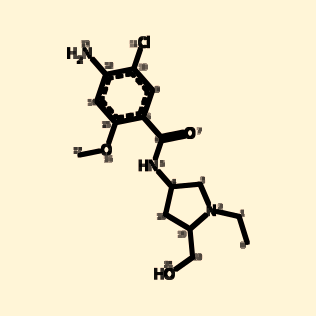 CCN1CC(NC(=O)c2cc(Cl)c(N)cc2OC)CC1CO